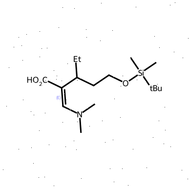 CCC(CCO[Si](C)(C)C(C)(C)C)/C(=C\N(C)C)C(=O)O